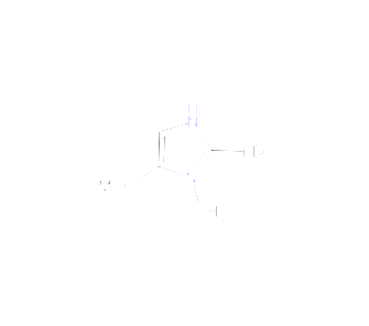 CCCCc1[nH]cc(OC)[n+]1C